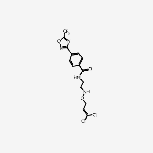 O=C(NCCNOCC=C(Cl)Cl)c1ccc(-c2noc(C(F)(F)F)n2)cc1